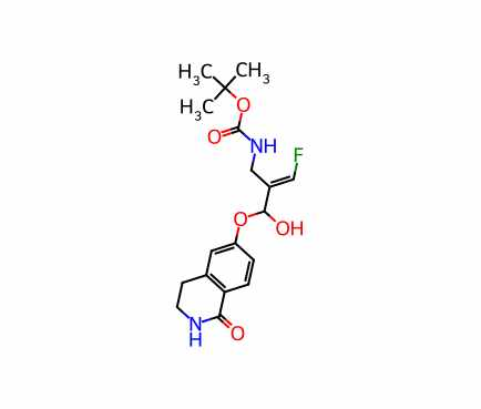 CC(C)(C)OC(=O)NC/C(=C\F)C(O)Oc1ccc2c(c1)CCNC2=O